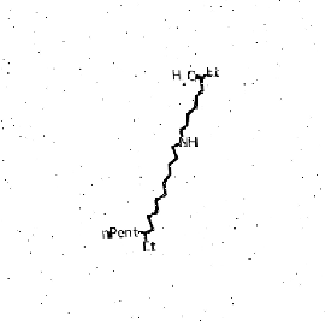 C=C(CC)CCCCCCNCCCCCCCCCCC(CC)CCCCC